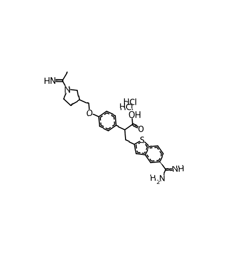 CC(=N)N1CCC(COc2ccc(C(Cc3cc4cc(C(=N)N)ccc4s3)C(=O)O)cc2)C1.Cl.Cl